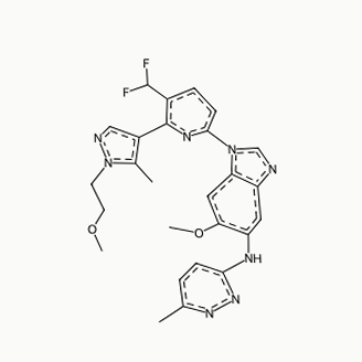 COCCn1ncc(-c2nc(-n3cnc4cc(Nc5ccc(C)nn5)c(OC)cc43)ccc2C(F)F)c1C